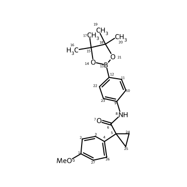 COc1ccc(C2(C(=O)Nc3ccc(B4OC(C)(C)C(C)(C)O4)cc3)CC2)cc1